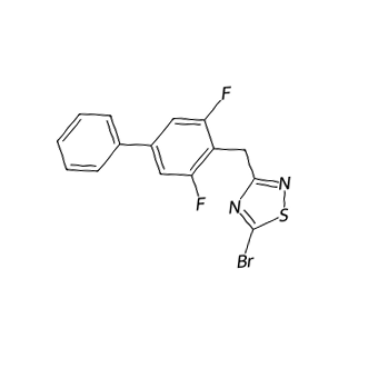 Fc1cc(-c2ccccc2)cc(F)c1Cc1nsc(Br)n1